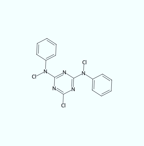 Clc1nc(N(Cl)c2ccccc2)nc(N(Cl)c2ccccc2)n1